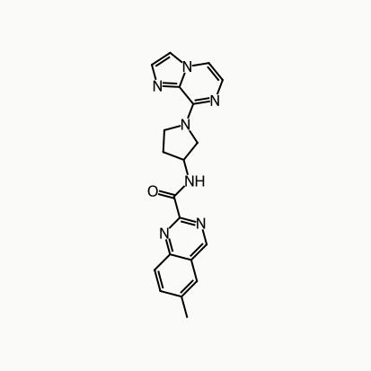 Cc1ccc2nc(C(=O)NC3CCN(c4nccn5ccnc45)C3)ncc2c1